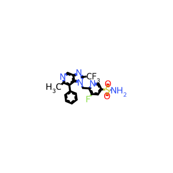 Cc1ncc2nc(C(F)(F)F)n(Cc3ncc(S(N)(=O)=O)cc3F)c2c1-c1ccccc1